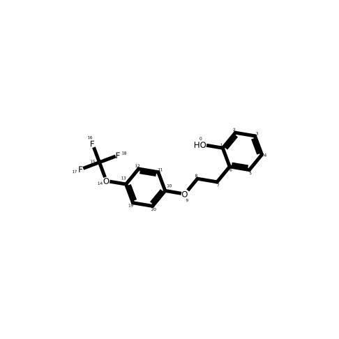 Oc1ccccc1CCOc1ccc(OC(F)(F)F)cc1